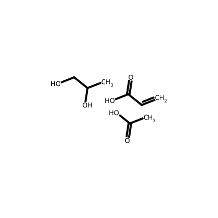 C=CC(=O)O.CC(=O)O.CC(O)CO